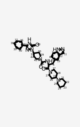 O=C(NC(Cc1ccc2[nH]ncc2c1)C(=O)N1CCC(N2CCCCC2)CC1)N1CCC(n2nc(-c3ccccc3)[nH]c2=O)CC1